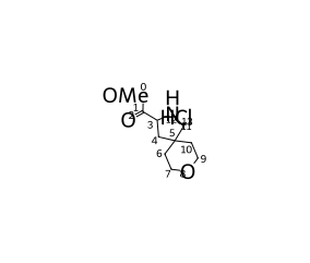 COC(=O)C1CC2(CCOCC2)CN1.Cl